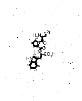 CC(C)C[C@H](N)C(=O)N1CCC[C@H]1C(=O)N[C@@H](Cc1c[nH]c2ccccc12)C(=O)O